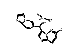 C[CH2][Mg][Br].OC(c1ccc2nccn2c1)c1cnc2ccc(Cl)nn12